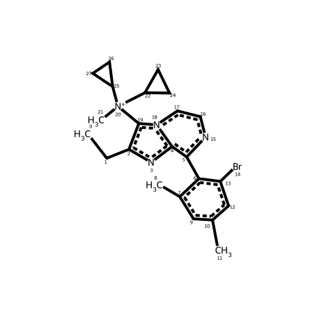 CCc1nc2c(-c3c(C)cc(C)cc3Br)nccn2c1[N+](C)(C1CC1)C1CC1